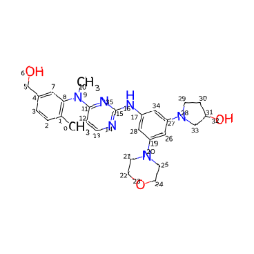 Cc1ccc(CO)cc1N(C)c1ccnc(Nc2cc(N3CCOCC3)cc(N3CCC(O)C3)c2)n1